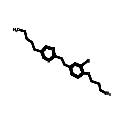 CCCCCc1cnc(CCc2ccc(OCCCC)c(Cl)c2)nc1